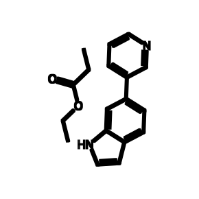 CCOC(=O)CC.c1cncc(-c2ccc3cc[nH]c3c2)c1